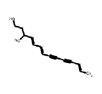 CC=CC#CC#CC=CC=CC(O)CCO